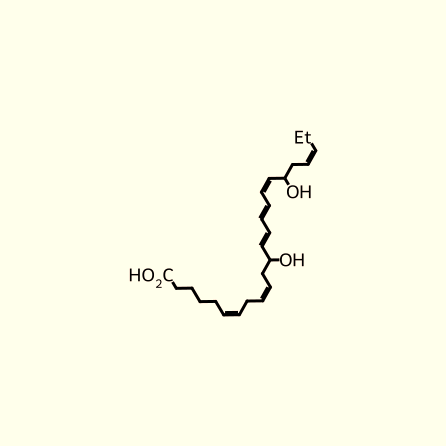 CC/C=C\CC(O)\C=C/C=C/C=C/C(O)C/C=C\C/C=C\CCCCC(=O)O